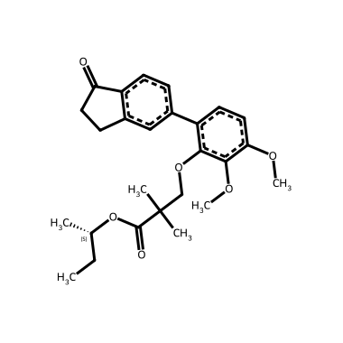 CC[C@H](C)OC(=O)C(C)(C)COc1c(-c2ccc3c(c2)CCC3=O)ccc(OC)c1OC